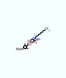 CNc1cc(C)c(CCS(=O)(=O)N2CCC3(CC2)N=C(C(F)CCCCCCCC(F)(F)F)NC3=O)c(C)c1